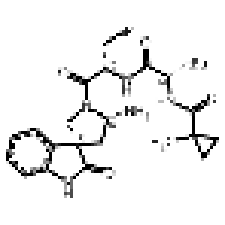 CC(C)C[C@H](NC(=O)[C@@H](NC(=O)C1(C)CC1)C(C)(C)C)C(=O)N1C[C@]2(C[C@H]1N)C(=O)Nc1ccccc12